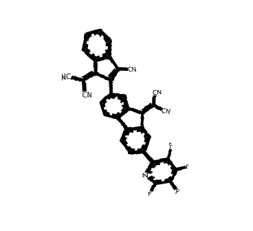 N#CC(C#N)=C1C(c2ccc3c(c2)C(=C(C#N)C#N)c2cc(-c4nc(F)c(F)c(F)c4F)ccc2-3)=C(C#N)c2ccccc21